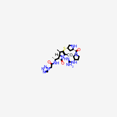 C[C@@H](NC(=O)Cn1cnnn1)[C@H]1C(=O)N2C(C(=O)O)=C(S[C@@H]3CN[C@H](C(=O)N4CC[C@@H](NC(=N)N)C4)C3)[C@H](C)[C@H]12